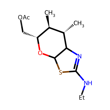 CCNC1=NC2C(O[C@H](COC(C)=O)[C@@H](C)[C@@H]2C)S1